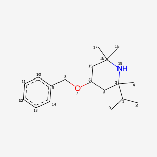 CC(C)C1(C)CC(OCc2ccccc2)CC(C)(C)N1